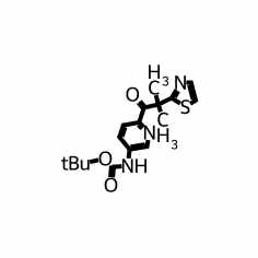 CC(C)(C)OC(=O)Nc1ccc(C(=O)C(C)(C)c2nccs2)nc1